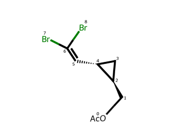 CC(=O)OC[C@@H]1C[C@H]1C=C(Br)Br